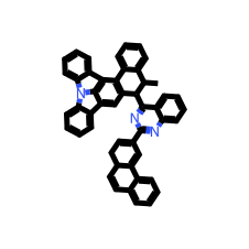 CC1c2ccccc2-c2c(cc3c4ccccc4n4c5ccccc5c2c34)C1c1nc(C2=CCC3C=Cc4ccccc4C3=C2)nc2ccccc12